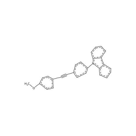 COc1ccc(C#Cc2ccc(-n3c4ccccc4c4ccccc43)cc2)cc1